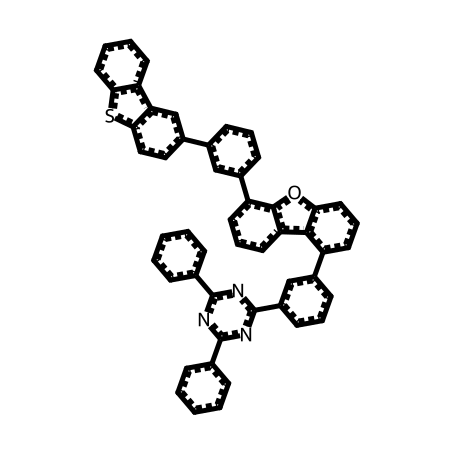 c1ccc(-c2nc(-c3ccccc3)nc(-c3cccc(-c4cccc5oc6c(-c7cccc(-c8ccc9sc%10ccccc%10c9c8)c7)cccc6c45)c3)n2)cc1